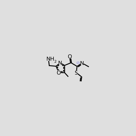 C=CS/C(=N\C)C(=O)c1nc(CN)oc1C